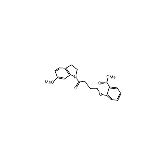 COC(=O)c1ccccc1OCCCC(=O)N1CCc2ccc(OC)cc21